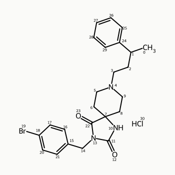 CC(CCN1CCC2(CC1)NC(=O)N(Cc1ccc(Br)cc1)C2=O)c1ccccc1.Cl